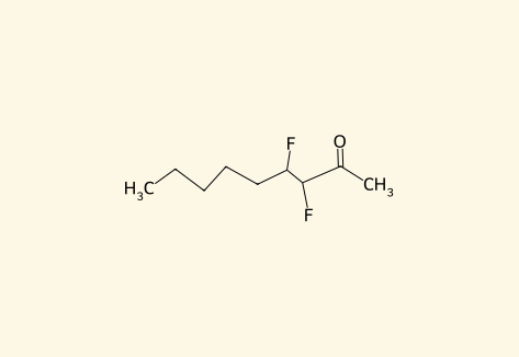 CCCCCC(F)C(F)C(C)=O